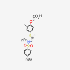 CCCCc1ccc(S(=O)(=O)N(CCC)C[C@@H](C)Sc2ccc(OCC(=O)O)c(C)c2)cc1